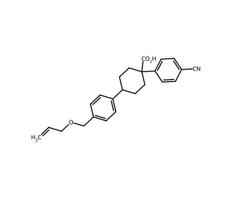 C=CCOCc1ccc(C2CCC(C(=O)O)(c3ccc(C#N)cc3)CC2)cc1